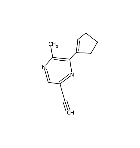 C#Cc1cnc(C)c(C2=CCCC2)n1